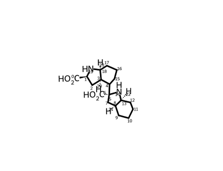 O=C(O)[C@@H]1C[C@@H]2C([C@]3(C(=O)O)C[C@@H]4CCCC[C@@H]4N3)CCC[C@@H]2N1